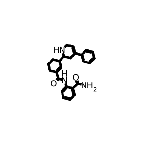 NC(=O)c1ccccc1NC(=O)C1=CC(C2CC(c3ccccc3)=CCN2)CCC1